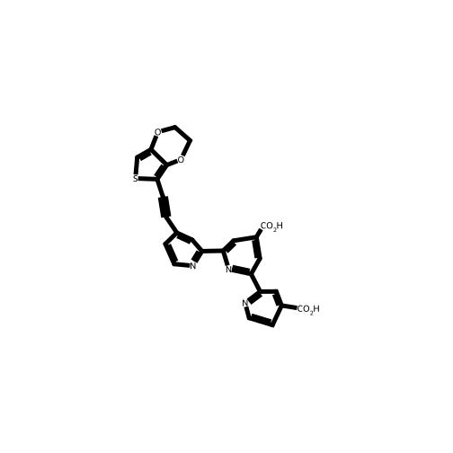 O=C(O)c1ccnc(-c2cc(C(=O)O)cc(-c3cc(C#Cc4scc5c4OCCO5)ccn3)n2)c1